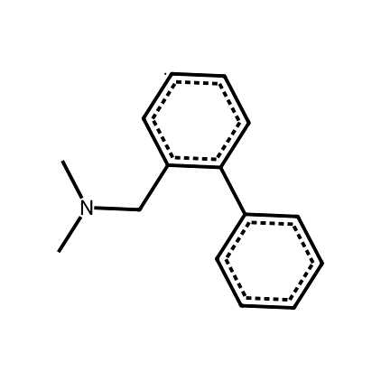 CN(C)Cc1c[c]ccc1-c1ccccc1